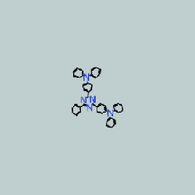 c1ccc(-c2nc(-c3ccc(N(c4ccccc4)c4ccccc4)cc3)nc(-c3ccc(N(c4ccccc4)c4ccccc4)cc3)n2)cc1